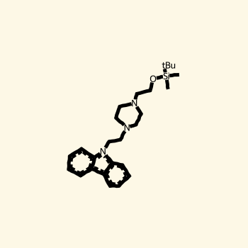 CC(C)(C)[Si](C)(C)OCCN1CCN(CCn2c3ccccc3c3ccccc32)CC1